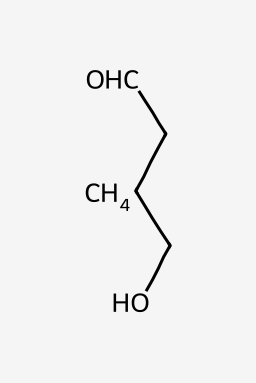 C.O=CCCCO